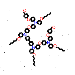 CCCCCCOc1cccc(N(c2ccc(Oc3cccc(N(c4cccc(OCCCCCC)c4)c4cccc(Oc5ccc(C=O)cc5)c4)c3)cc2)c2ccc(-c3ccc(N(c4cccc(OCCCCCC)c4)c4cccc(Oc5ccc(N(c6cccc(OCCCCCC)c6)c6cccc(Oc7ccc(C=O)cc7)c6)cc5)c4)cc3)cc2)c1